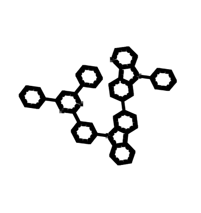 c1ccc(-c2cc(-c3ccccc3)nc(-c3cccc(-n4c5ccccc5c5ccc(-c6ccc7c8ncccc8n(-c8ccccc8)c7c6)cc54)c3)n2)cc1